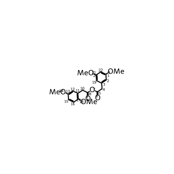 COc1cc(CC(=O)OC(=O)Cc2cc(OC)ccc2OC)cc(OC)c1